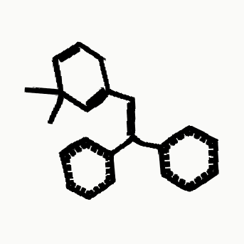 CC1(C)C=C[CH]C(C=C(c2ccccc2)c2ccccc2)=C1